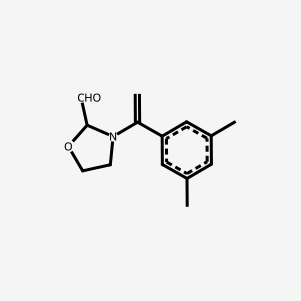 C=C(c1cc(C)cc(C)c1)N1CCOC1C=O